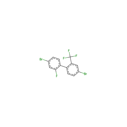 Fc1cc(Br)ccc1-c1ccc(Br)cc1C(F)(F)F